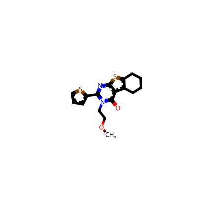 COCCn1c(-c2cccs2)nc2sc3c(c2c1=O)CCCC3